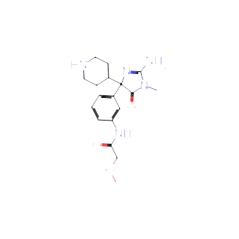 COCC(=O)Nc1cccc(C2(C3CCNCC3)N=C(N)N(C)C2=O)c1